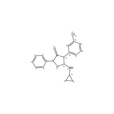 O=C1C(c2ccccc2)OC(NC2CC2)C1c1cccc(C(F)(F)F)c1